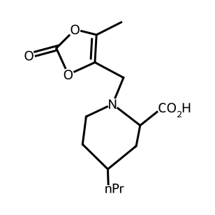 CCCC1CCN(Cc2oc(=O)oc2C)C(C(=O)O)C1